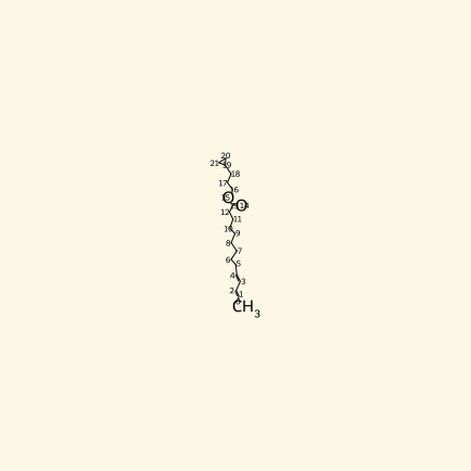 C/C=C/C=C/CCCCCCCCC(=O)OCCCC1CC1